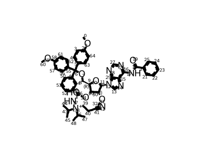 COc1ccc(C(OC[C@H]2O[C@@H](n3cnc4c(NC(=O)c5ccccc5)ncnc43)[C@H](OC)[C@@H]2OP(O)N[N+](CCC#N)(C(C)C)C(C)C)(c2ccccc2)c2ccc(OC)cc2)cc1